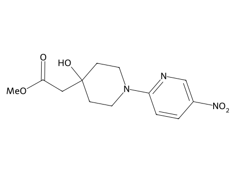 COC(=O)CC1(O)CCN(c2ccc([N+](=O)[O-])cn2)CC1